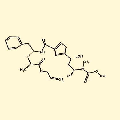 C=CCOC(=O)[C@@H](C)C[C@H](Cc1ccccc1)NC(=O)c1csc([C@H](O)C[C@H](C(C)C)N(C)C(=O)OC(C)(C)C)n1